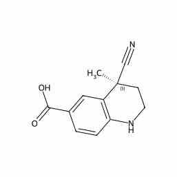 C[C@]1(C#N)CCNc2ccc(C(=O)O)cc21